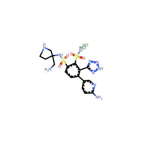 Cl.Cl.NCC1(NS(=O)(=O)c2ccc(-c3ccc(N)nc3)c(-c3nn[nH]n3)c2S(N)(=O)=O)CCNC1